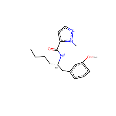 CCCC[C@@H](Cc1cccc(OC)c1)NC(=O)c1ccnn1C